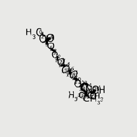 CCOC(=O)COCCOCCOCCOCCOCCOC1CCN(C(=O)O)C(C(C)(C)C)C1